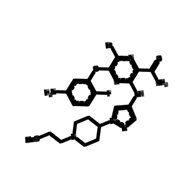 CCc1nc(C(N)=O)c(Nc2cnn(C3CCN(CCOC)CC3)c2)nc1Oc1cc(N)ccc1F